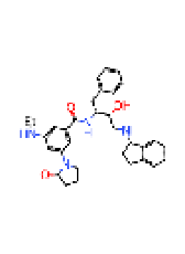 CCNc1cc(C(=O)N[C@@H](Cc2ccccc2)[C@H](O)CN[C@H]2CCc3ccccc32)cc(N2CCCC2=O)c1